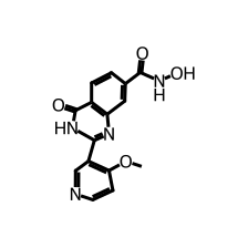 COc1ccncc1-c1nc2cc(C(=O)NO)ccc2c(=O)[nH]1